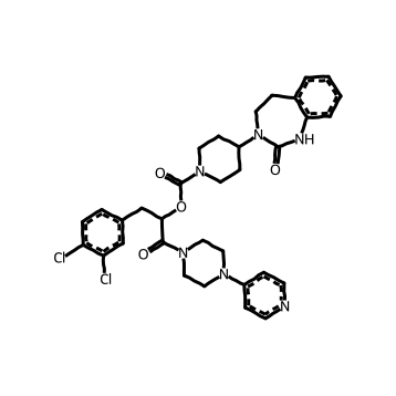 O=C(OC(Cc1ccc(Cl)c(Cl)c1)C(=O)N1CCN(c2ccncc2)CC1)N1CCC(N2CCc3ccccc3NC2=O)CC1